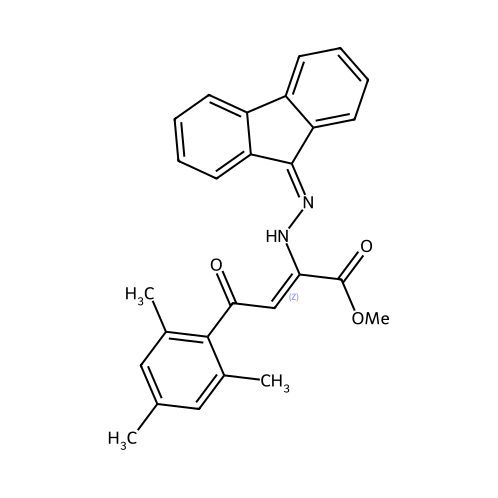 COC(=O)/C(=C/C(=O)c1c(C)cc(C)cc1C)NN=C1c2ccccc2-c2ccccc21